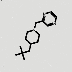 CC(C)(C)CC1CCN(Cc2cnccn2)CC1